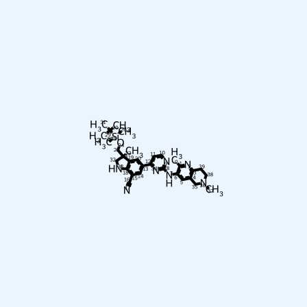 Cc1nc2c(cc1Nc1nccc(-c3cc(C#N)c4c(c3)[C@@](C)(CO[Si](C)(C)C(C)(C)C)CN4)n1)CN(C)CC2